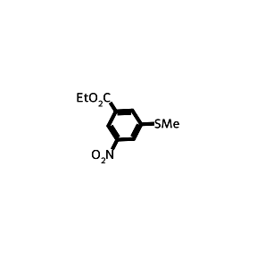 CCOC(=O)c1cc(SC)cc([N+](=O)[O-])c1